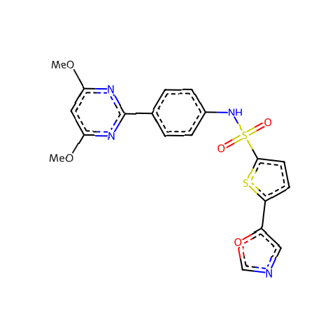 COc1cc(OC)nc(-c2ccc(NS(=O)(=O)c3ccc(-c4cnco4)s3)cc2)n1